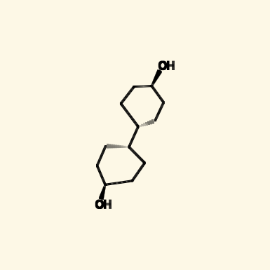 O[C@H]1CC[C@H]([C@H]2CC[C@H](O)CC2)CC1